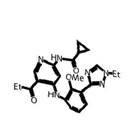 CCC(=O)c1cnc(NC(=O)C2CC2)cc1Nc1cccc(-c2ncn(CC)n2)c1OC